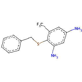 Nc1cc(N)c(SCc2ccccc2)c(C(F)(F)F)c1